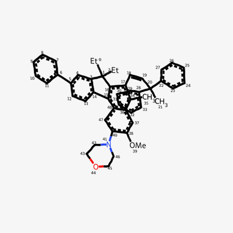 CCC1(CC)c2cc(-c3ccccc3)ccc2-c2c1c(/C=C\C(C)(c1ccccc1)c1ccccc1)c(C)c1cc(OC)c(N3CCOCC3)cc21